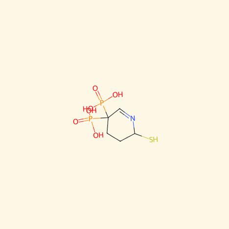 O=P(O)(O)C1(P(=O)(O)O)C=NC(S)CC1